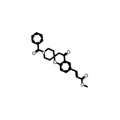 COC(=O)C=Cc1ccc2c(c1)C(=O)CC1(CCN(C(=O)c3ccccc3)CC1)O2